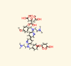 CN(C)CCN(Cc1ccccc1)c1ccccn1.COc1ccc(CN(CCN(C)C)c2ccccn2)cc1.O=C(O)/C=C\C(=O)O.O=C(O)CC(O)(CC(=O)O)C(=O)O